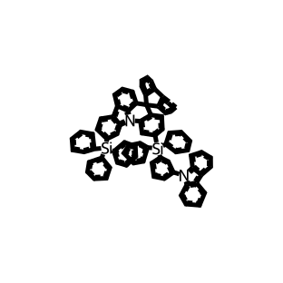 c1ccc([Si](c2ccccc2)(c2cccc(-n3c4ccccc4c4ccccc43)c2)c2ccc3c(c2)-n2c4cc([Si](c5ccccc5)(c5ccccc5)c5ccccc5)ccc4c4cccc(c42)C32c3ccccc3-c3ccccc32)cc1